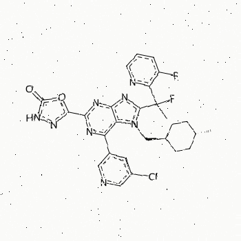 CC(F)(c1ncccc1F)c1nc2nc(-c3n[nH]c(=O)o3)nc(-c3cncc(Cl)c3)c2n1C[C@H]1CC[C@H](C)CC1